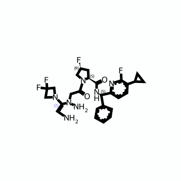 N/C=C(\N(N)CC(=O)N1C[C@H](F)C[C@H]1C(=O)N[C@@H](c1ccccc1)c1ccc(C2CC2)c(F)n1)N1CC(F)(F)C1